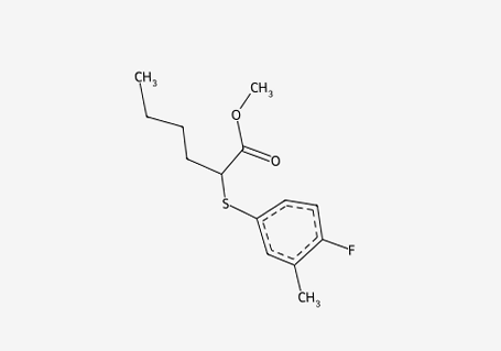 CCCCC(Sc1ccc(F)c(C)c1)C(=O)OC